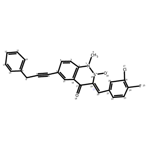 CN1c2ccc(C#CCc3ccccc3)cc2C(=O)/C(=C/c2ccc(F)c(Cl)c2)[S+]1[O-]